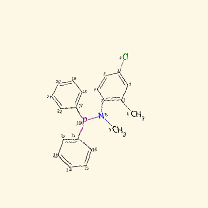 Cc1cc(Cl)ccc1N(C)P(c1ccccc1)c1ccccc1